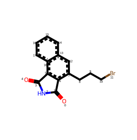 O=C1NC(=O)c2c1c(CCCBr)cc1ccccc21